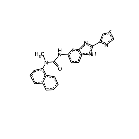 CN(C(=O)Nc1ccc2[nH]c(-c3cscn3)nc2c1)c1cccc2ccccc12